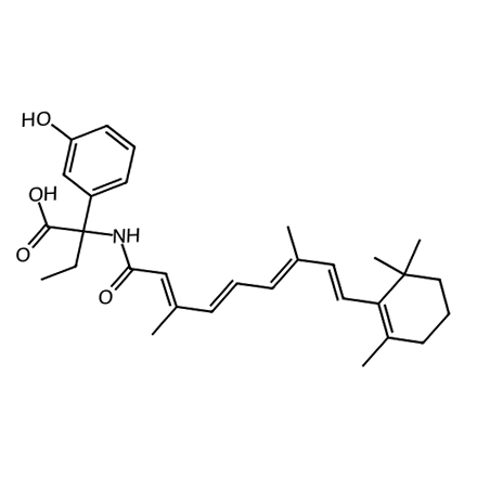 CCC(NC(=O)C=C(C)C=CC=C(C)C=CC1=C(C)CCCC1(C)C)(C(=O)O)c1cccc(O)c1